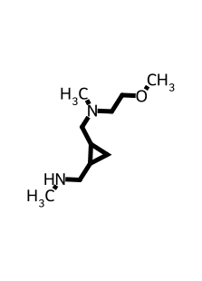 CNCC1CC1CN(C)CCOC